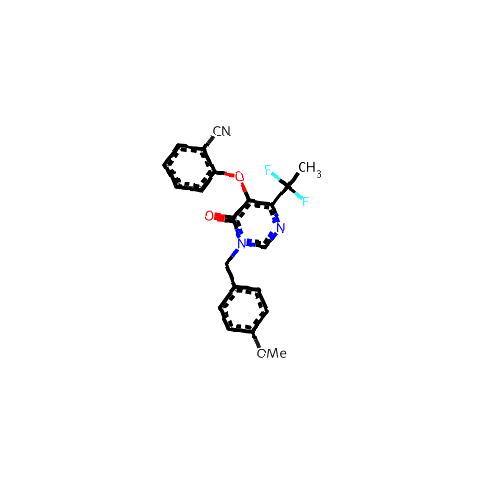 COc1ccc(Cn2cnc(C(C)(F)F)c(Oc3ccccc3C#N)c2=O)cc1